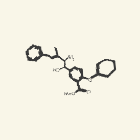 COC(=O)c1cc([C@@H](O)[C@H](N)C(C)Cc2ccccc2)ccc1OC1CCCCC1